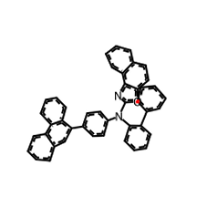 c1ccc(-c2ccccc2N(c2ccc(-c3cc4ccccc4c4ccccc34)cc2)c2nc3c(ccc4ccccc43)o2)cc1